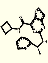 C[C@H](Nc1nc(C(=O)NC2CCC2)c2sccc2n1)c1ccccn1